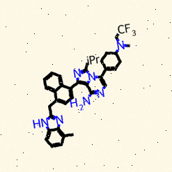 Cc1cccc2[nH]c(Cc3ccc(-c4nc(C(C)C)n5c(C6=CCC(N(C)CC(F)(F)F)CC6)cnc(N)c45)c4ccccc34)nc12